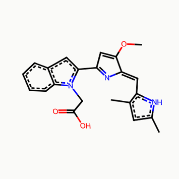 COC1=CC(c2cc3ccccc3n2CC(=O)O)=NC1=Cc1[nH]c(C)cc1C